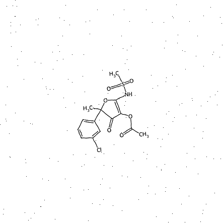 CC(=O)OC1=C(NS(C)(=O)=O)OC(C)(c2cccc(Cl)c2)C1=O